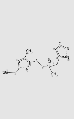 Cc1cc(CC(C)(C)C)nn1CCC(C)(C)Cc1csnn1